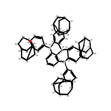 c1cc2c3c(c1)N(c1ccc4c(c1)C1CC5CC(CC4C5)C1)c1cc4c(cc1B3c1cc3c(cc1N2c1ccc2c(c1)C1CC5CC(CC2C5)C1)C1CC2CC(CC3C2)C1)C1CC2CC(C1)CC4C2